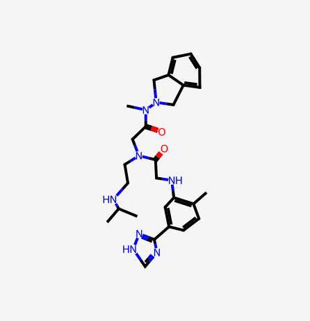 Cc1ccc(-c2nc[nH]n2)cc1NCC(=O)N(CCNC(C)C)CC(=O)N(C)N1Cc2ccccc2C1